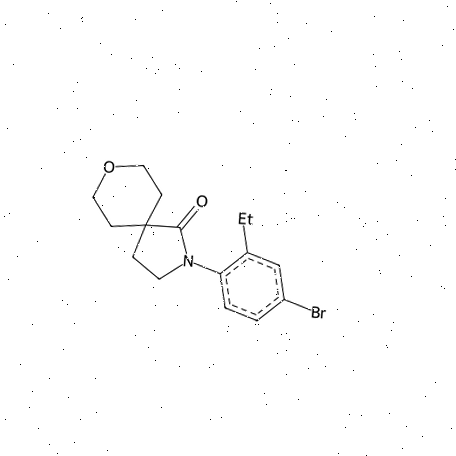 CCc1cc(Br)ccc1N1CCC2(CCOCC2)C1=O